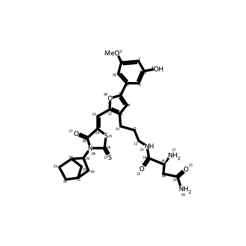 COc1cc(O)cc(-c2cc(CCCNC(=O)[C@@H](N)CC(N)=O)c(/C=C3\SC(=S)N(C4CC5CCC4C5)C3=O)o2)c1